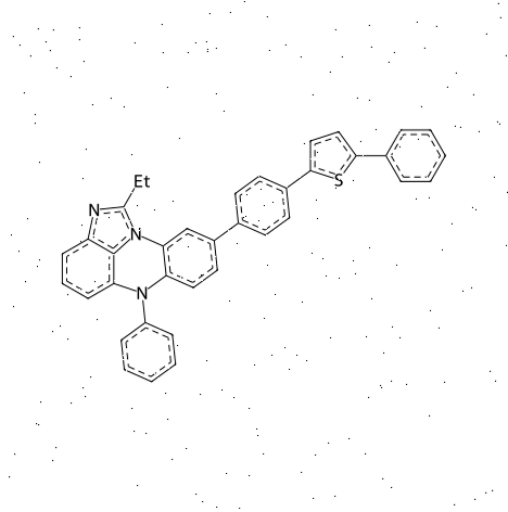 CCc1nc2cccc3c2n1-c1cc(-c2ccc(-c4ccc(-c5ccccc5)s4)cc2)ccc1N3c1ccccc1